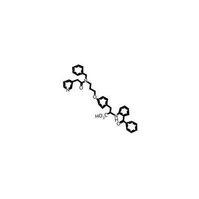 O=C(c1ccccc1)c1ccccc1NC(Cc1ccc(OCCCN(Cc2ccccc2)C(=O)Cc2cccnc2)cc1)C(=O)O